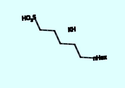 CCCCCCCCCCCS(=O)(=O)O.[KH]